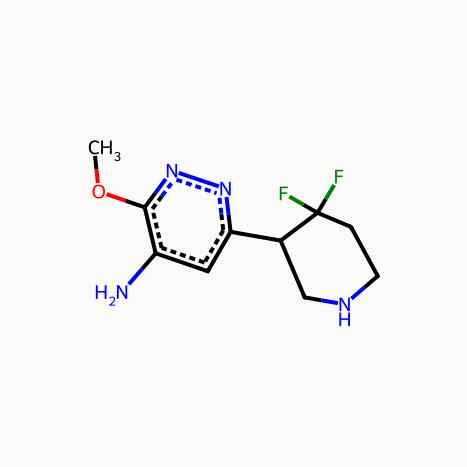 COc1nnc(C2CNCCC2(F)F)cc1N